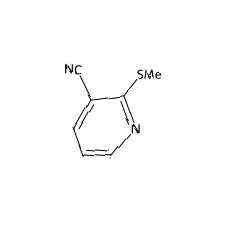 CSc1n[c]ccc1C#N